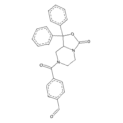 O=Cc1ccc(C(=O)N2CCN3C(=O)OC(c4ccccc4)(c4ccccc4)C3C2)cc1